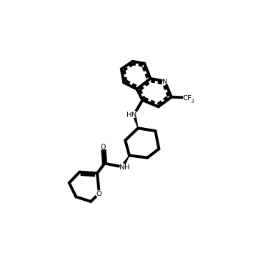 O=C(N[C@@H]1CCC[C@H](Nc2cc(C(F)(F)F)nc3ccccc23)C1)C1=CCCCO1